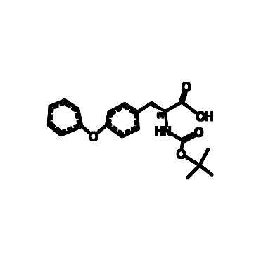 CC(C)(C)OC(=O)N[C@@H](Cc1ccc(Oc2ccccc2)cc1)C(=O)O